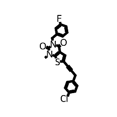 Cn1c(=O)n(Cc2cccc(F)c2)c(=O)c2cc(C#CCc3ccc(Cl)cc3)sc21